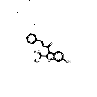 C=C(C)c1oc2cc(O)ccc2c1C(=O)C=Cc1ccccc1